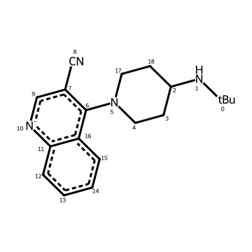 CC(C)(C)NC1CCN(c2c(C#N)cnc3ccccc23)CC1